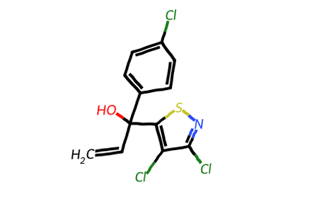 C=CC(O)(c1ccc(Cl)cc1)c1snc(Cl)c1Cl